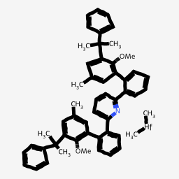 COc1c(-c2ccccc2-c2cccc(-c3ccccc3-c3cc(C)cc(C(C)(C)c4ccccc4)c3OC)n2)cc(C)cc1C(C)(C)c1ccccc1.[CH3][Hf][CH3]